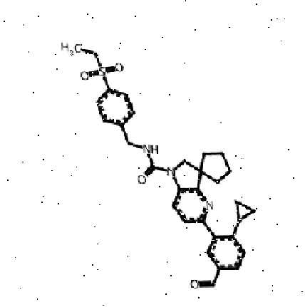 CCS(=O)(=O)c1ccc(CNC(=O)N2CC3(CCCC3)c3nc(-c4cc(C=O)ccc4C4CC4)ccc32)cc1